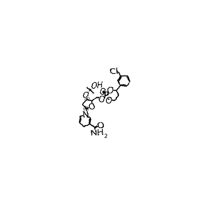 CC(C)(O)O[C@H]1C[C@H](N2C=CCC(C(N)=O)=C2)OC1COP1(=O)OCCC(c2cccc(Cl)c2)O1